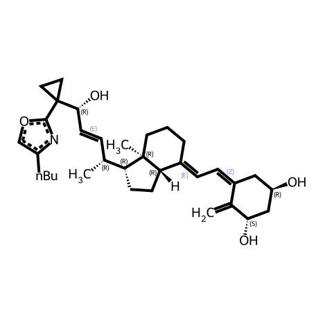 C=C1/C(=C\C=C2/CCC[C@]3(C)[C@@H]([C@H](C)/C=C/[C@@H](O)C4(c5nc(CCCC)co5)CC4)CC[C@@H]23)C[C@@H](O)C[C@@H]1O